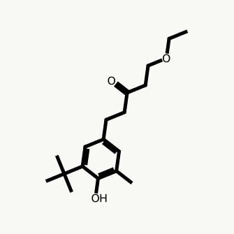 CCOCCC(=O)CCc1cc(C)c(O)c(C(C)(C)C)c1